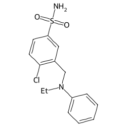 CCN(Cc1cc(S(N)(=O)=O)ccc1Cl)c1ccccc1